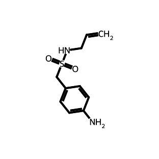 C=CCNS(=O)(=O)Cc1ccc(N)cc1